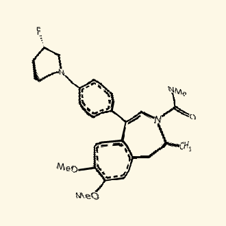 CNC(=O)N1C=C(c2ccc(N3CC[C@H](F)C3)cc2)c2cc(OC)c(OC)cc2CC1C